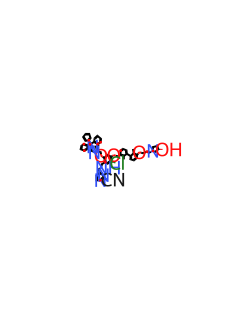 Cc1c(COc2cc(OCc3ncn(C(c4ccccc4)(c4ccccc4)c4ccccc4)c3C)c(CNCc3ccnc(C#N)n3)cc2Cl)cccc1-c1cccc(OCCCN2CC[C@@H](O)C2)c1C